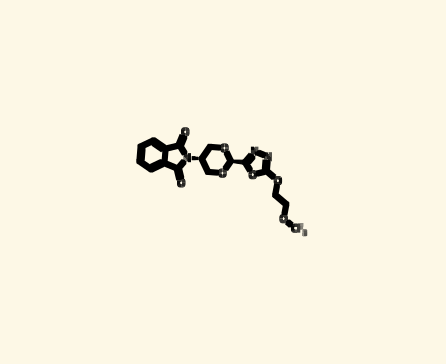 O=C1c2ccccc2C(=O)N1[C@H]1CO[C@H](c2nnc(OCCOC(F)(F)F)o2)OC1